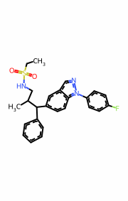 CCS(=O)(=O)NCC(C)C(c1ccccc1)c1ccc2c(cnn2-c2ccc(F)cc2)c1